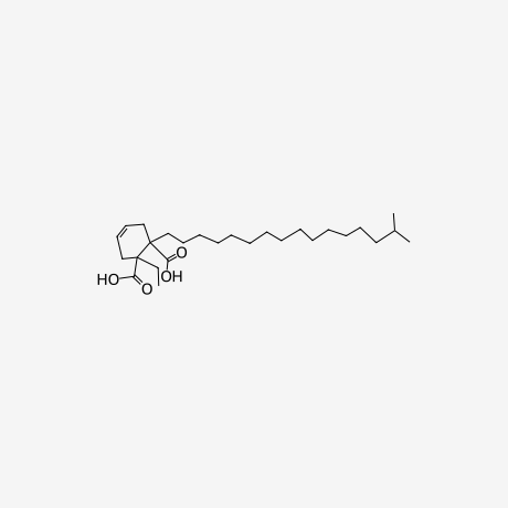 CCC1(C(=O)O)CC=CCC1(CCCCCCCCCCCCCCC(C)C)C(=O)O